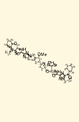 COc1cc(-c2ccc3c(n2)N(C)C(=S)C(NC(=O)c2nc4n(n2)CCO[C@H]4c2ccccc2)CO3)ccc1Cn1cnc(C(=O)NC2COc3cccnc3N(C)C2=S)n1